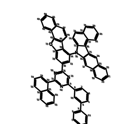 c1ccc(-c2cccc(-c3nc(-c4cc(-n5c6cc7ccccc7cc6c6c7ccccc7ccc65)c5c(c4)oc4c6ccccc6ccc45)nc(-c4cccc5ccccc45)n3)c2)cc1